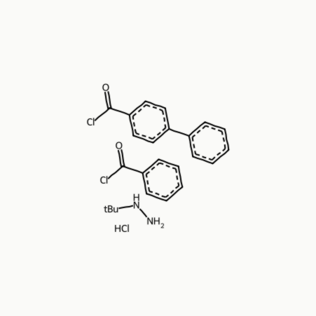 CC(C)(C)NN.Cl.O=C(Cl)c1ccc(-c2ccccc2)cc1.O=C(Cl)c1ccccc1